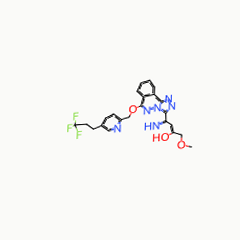 COC/C(O)=C/C(=N)c1nnc2c3ccccc3c(OCc3ccc(CCC(F)(F)F)cn3)nn12